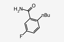 CCCCc1ccc(F)cc1C(N)=O